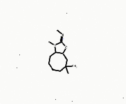 BC1(C)CCCCC2C(C1)O/C(=N/C)N2C